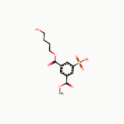 COC(=O)c1cc(C(=O)OCCCCO)cc(S(=O)(=O)O)c1